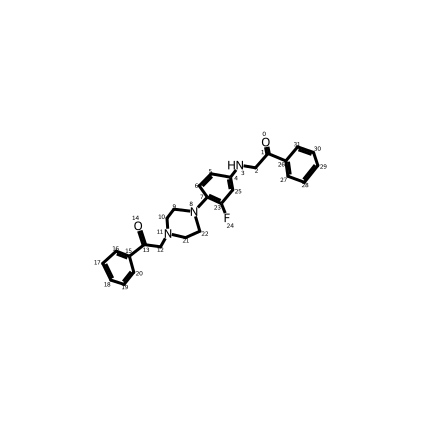 O=C(CNc1ccc(N2CCN(CC(=O)c3ccccc3)CC2)c(F)c1)c1ccccc1